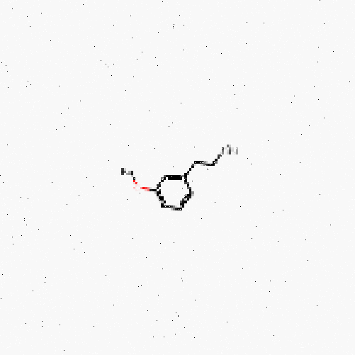 CC(C)(C)CCc1cccc(OC(C)(C)C)c1